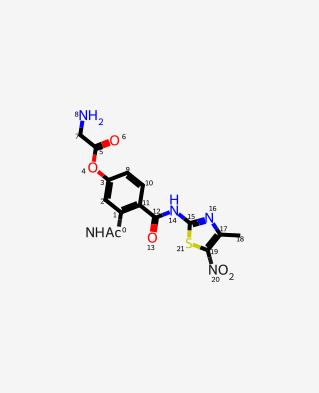 CC(=O)Nc1cc(OC(=O)CN)ccc1C(=O)Nc1nc(C)c([N+](=O)[O-])s1